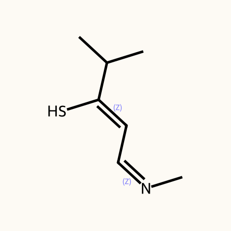 C/N=C\C=C(/S)C(C)C